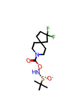 CC(C)(C)[S+]([O-])NOC(=O)N1CCC2(CC1)CCC(F)(F)C2